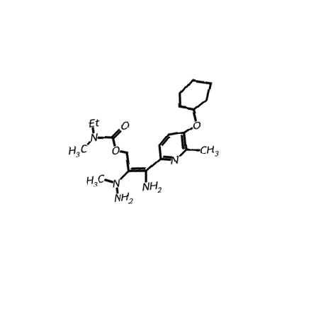 CCN(C)C(=O)OC/C(=C(/N)c1ccc(OC2CCCCC2)c(C)n1)N(C)N